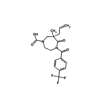 C=CCC1(C)CN(C(=O)O)CCN(C(=O)c2ccc(C(F)(F)F)cc2)C1=O